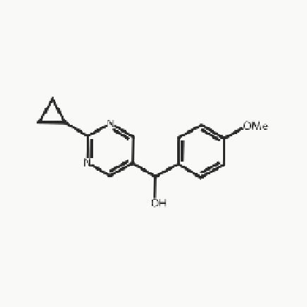 COc1ccc(C(O)c2cnc(C3CC3)nc2)cc1